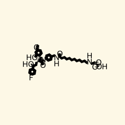 COc1ccc([C@@H]2[C@@H](CC[C@H](O)c3ccc(F)cc3)C(=O)N2c2ccc(CNC(=O)CCCCCCCCCCCNCCS(=O)(=O)O)cc2)c(O)c1